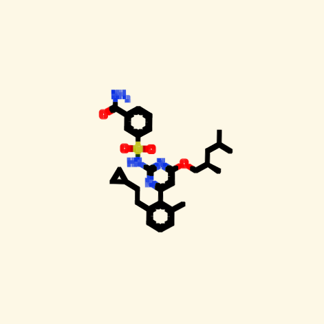 Cc1cccc(CCC2CC2)c1-c1cc(OC[C@H](C)CC(C)C)nc(NS(=O)(=O)c2cccc(C(N)=O)c2)n1